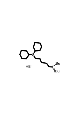 Br.CC(C)(C)P(CCCCCB(C1CCCCC1)C1CCCCC1)C(C)(C)C